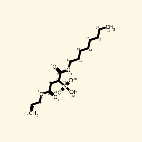 C=CCOC(=O)CC(C(=O)OCCCCCCCC)S(=O)(=O)O